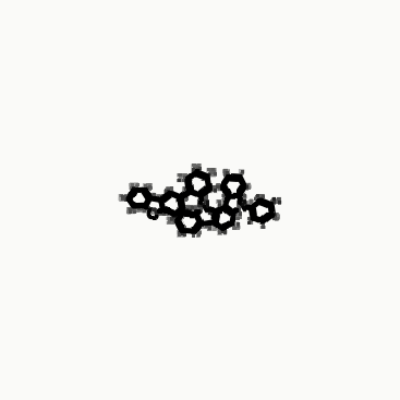 c1ccc(-n2c3ccccc3c3c2ccc2c4ccccc4n(-c4ccccc4-c4ccc5oc6ccccc6c5c4)c23)cc1